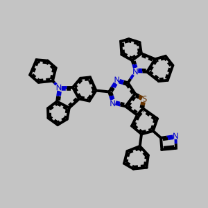 C1=CC(c2cc3sc4c(-n5c6ccccc6c6ccccc65)nc(-c5ccc6c(c5)c5ccccc5n6-c5ccccc5)nc4c3cc2-c2ccccc2)=N1